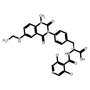 CCNc1ccc2c(c1)c(=O)n(-c1ccc(C[C@H](NC(=O)c3c(Cl)cncc3Cl)C(=O)O)cc1)c(=O)n2C